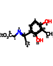 CCOC(=O)C/N=C(\CC)c1ccc(O)c(C)c1O